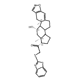 C[C@]12Cc3cnoc3C=C1CCC1C2[C@@H](O)C[C@@]2(C)C1CC[C@@H]2C(=O)CSc1nc2ccccc2s1